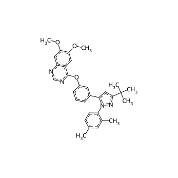 COc1cc2ncnc(Oc3cccc(-c4cc(C(C)(C)C)nn4-c4ccc(C)cc4C)c3)c2cc1OC